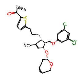 COC(=O)c1ccc(CCC[C@@H]2[C@@H](COc3cc(Cl)cc(Cl)c3)[C@H](OC3CCCCO3)C[C@H]2C#N)s1